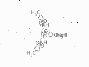 Cc1ccc(S(=O)(=O)NCCCN(CCCNS(=O)(=O)c2ccc(C)cc2)S(=O)(=O)c2ccc(C)cc2)cc1.[NaH].[NaH]